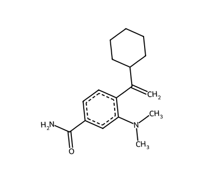 C=C(c1ccc(C(N)=O)cc1N(C)C)C1CCCCC1